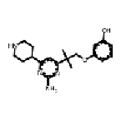 CC(C)(COc1cccc(O)c1)c1cc(C2CCNCC2)nc(N)n1